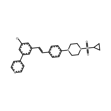 O=S(=O)(C1CC1)N1CCN(c2ccc(C=Cc3cc(Cl)cc(-c4ccncc4)c3)cc2)CC1